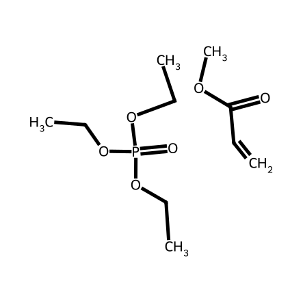 C=CC(=O)OC.CCOP(=O)(OCC)OCC